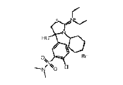 CC[N+](CC)=C1SCC(O)(c2ccc(Cl)c(S(=O)(=O)N(C)C)c2)N1C1CCCCC1.[Br-]